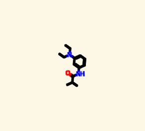 CCN(CC)c1cccc(NC(=O)C(C)C)c1